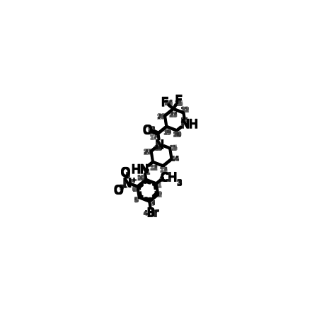 Cc1cc(Br)cc([N+](=O)[O-])c1NC1CCCN(C(=O)C2CNCC(F)(F)C2)C1